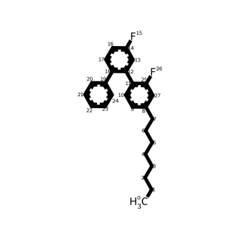 CCCCCCCCc1ccc(-c2cc(F)ccc2-c2ccccc2)c(F)c1